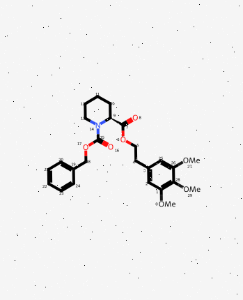 COc1cc(CCOC(=O)[C@@H]2CCCCN2C(=O)OCc2ccccc2)cc(OC)c1OC